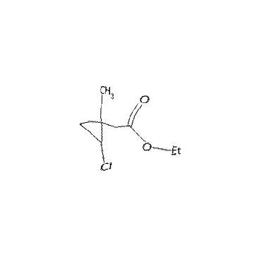 CCOC(=O)C1(C)CC1Cl